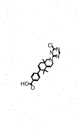 CC12CC=C(c3ccc(C(=O)O)cc3)C(C)(C)C1=CCN(c1ncnc(Cl)n1)C2